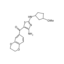 COC1CCC(Nc2nc(N)c(C(=O)c3ccc4c(c3)OCCO4)s2)C1